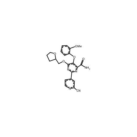 COc1ccccc1Oc1c(OCC2CCCO2)nc(-c2ccnc(C#N)c2)nc1C(N)=O